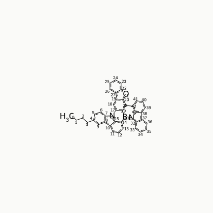 CCCCc1ccc2c(c1)c1cccc3c1n2-c1cc2c(oc4ccccc42)c2c1B3n1c3ccccc3c3cccc-2c31